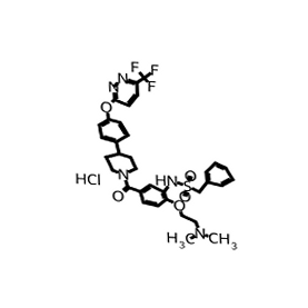 CN(C)CCOc1ccc(C(=O)N2CCC(c3ccc(Oc4ccc(C(F)(F)F)nn4)cc3)CC2)cc1NS(=O)(=O)Cc1ccccc1.Cl